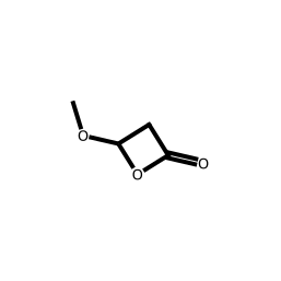 COC1CC(=O)O1